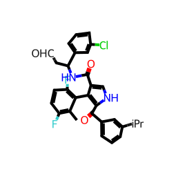 Cc1c(F)ccc(F)c1-c1c(C(=O)NC(CC=O)c2cccc(Cl)c2)c[nH]c1C(=O)c1cccc(C(C)C)c1